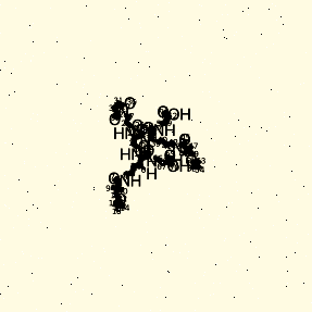 C[C@@H](CCCNC(=O)C(C)(C)COC(C)(C)C)C(NC(=O)CC(NC(=O)CCN1C(=O)C=CC1=O)C(=O)N[C@@H](CCCCNC(=O)C(C)(C)COC(C)(C)C)C(=O)NCCC(=O)O)C(=O)NCCC(=O)O